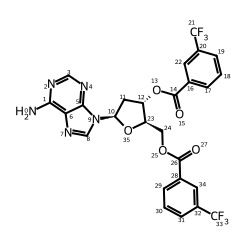 Nc1ncnc2c1ncn2[C@H]1C[C@H](OC(=O)c2cccc(C(F)(F)F)c2)[C@@H](COC(=O)c2cccc(C(F)(F)F)c2)O1